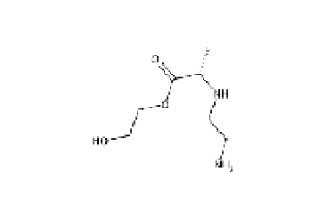 C[C@H](NCCN)C(=O)OCCO